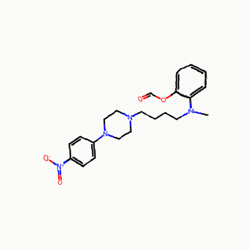 CN(CCCCN1CCN(c2ccc([N+](=O)[O-])cc2)CC1)c1ccccc1OC=O